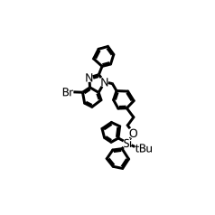 CC(C)(C)[Si](OCCc1ccc(Cn2c(-c3ccccc3)nc3c(Br)cccc32)cc1)(c1ccccc1)c1ccccc1